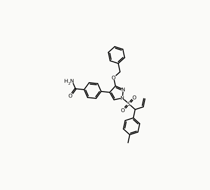 C=CC(c1ccc(C)cc1)S(=O)(=O)n1cc(-c2ccc(C(N)=O)cc2)c(OCc2ccccc2)n1